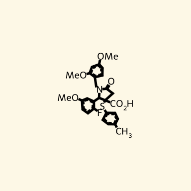 COc1ccc(CN2C(=O)CC(Sc3ccc(C)cc3)(C(=O)O)C2c2cc(OC)ccc2F)c(OC)c1